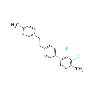 Cc1ccc(CCc2ccc(-c3ccc(C)c(F)c3F)cc2)cc1